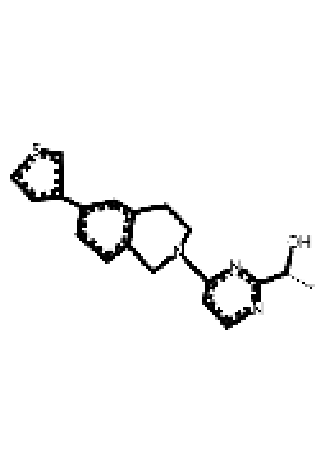 C[C@@H](O)c1nccc(N2CCc3cc(-c4ccsc4)ccc3C2)n1